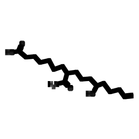 C=CCCCC(O)CCCC(CCCCCCC(=O)O)C(N)=O